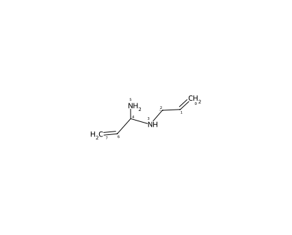 C=C[CH]NC(N)C=C